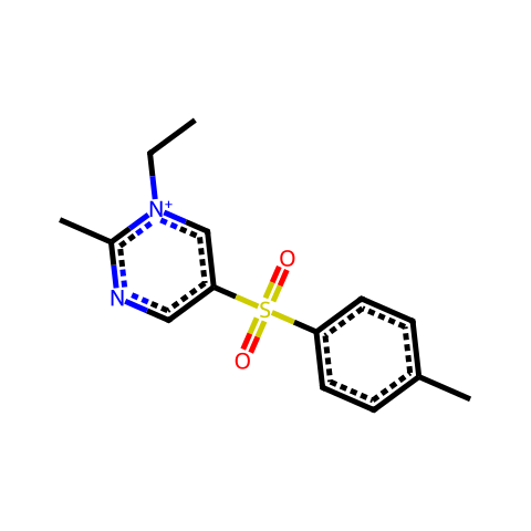 CC[n+]1cc(S(=O)(=O)c2ccc(C)cc2)cnc1C